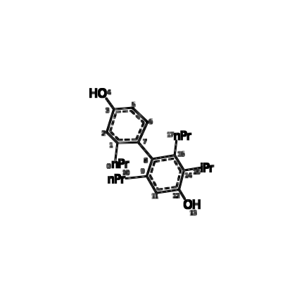 CCCc1cc(O)ccc1-c1c(CCC)cc(O)c(C(C)C)c1CCC